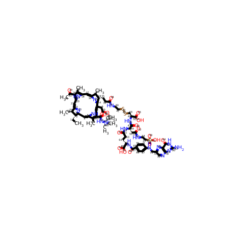 CC[C@H]1c2cc3[nH]c(c(CC(=O)OC)c4nc(cc5[nH]c(cc(n2)[C@@H]1C)c(C(C)=O)c5C)[C@@H](C)[C@@H]4CCC(=O)NCCSSC[C@H](NC(=O)[C@H](CC(=O)NCCS(=O)(=O)O)NC(=O)CC[C@H](NC(=O)c1ccc(NCc2cnc4nc(N)[nH]c(=O)c4n2)cc1)C(=O)O)C(=O)O)c(C(=O)N[N+](C)(C)C)c3C